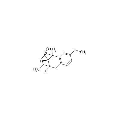 COc1ccc2c(c1)[C@]1(C)CCC(C)[C@H](C2)[C@@H]1C=O